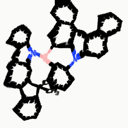 CC1(C)c2ccccc2-c2ccc3c4ccccc4n(B4c5ccccc5-n5c6ccc7ccccc7c6c6c7ccccc7cc4c65)c3c21